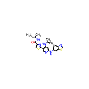 CCC(C)NC(=O)c1csc(-c2cnc(Nc3ccc4ncsc4c3)cc2NC(C)C)n1